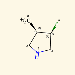 [CH2][C@@H]1CNC[C@@H]1F